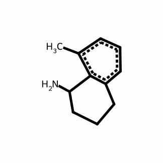 Cc1cccc2c1C(N)CCC2